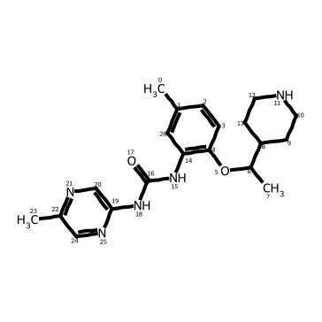 Cc1ccc(OC(C)C2CCNCC2)c(NC(=O)Nc2cnc(C)cn2)c1